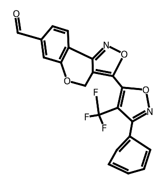 O=Cc1ccc2c(c1)OCc1c-2noc1-c1onc(-c2ccccc2)c1C(F)(F)F